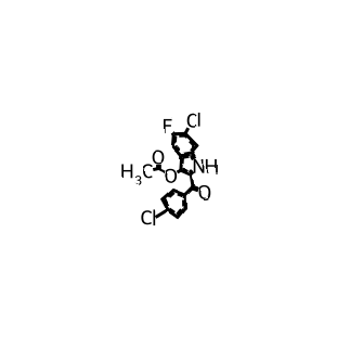 CC(=O)Oc1c(C(=O)c2ccc(Cl)cc2)[nH]c2cc(Cl)c(F)cc12